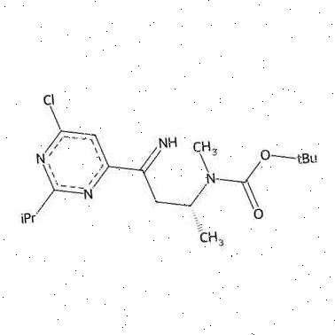 CC(C)c1nc(Cl)cc(C(=N)C[C@@H](C)N(C)C(=O)OC(C)(C)C)n1